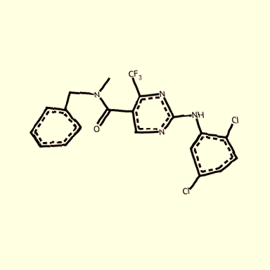 CN(Cc1ccccc1)C(=O)c1cnc(Nc2cc(Cl)ccc2Cl)nc1C(F)(F)F